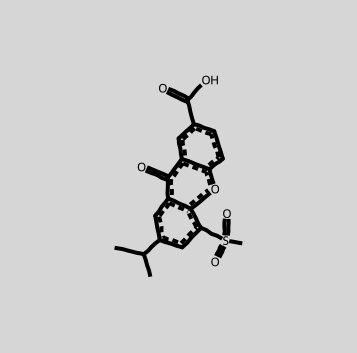 CC(C)c1cc(S(C)(=O)=O)c2oc3ccc(C(=O)O)cc3c(=O)c2c1